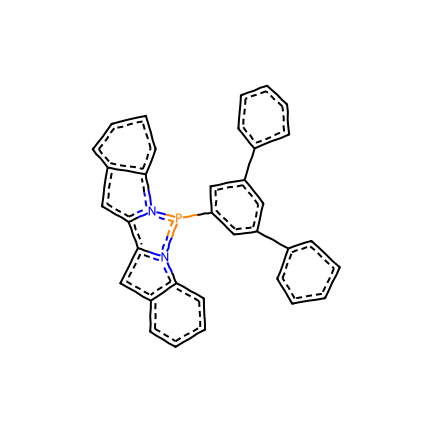 c1ccc(-c2cc(-c3ccccc3)cc(-p3n4c5ccccc5cc4c4cc5ccccc5n43)c2)cc1